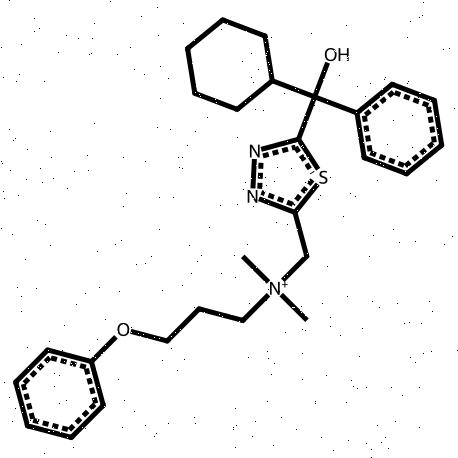 C[N+](C)(CCCOc1ccccc1)Cc1nnc(C(O)(c2ccccc2)C2CCCCC2)s1